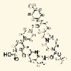 CC(C)(C)OC(=O)N1CCCN(C[C@]2(C)CCC(c3ccc(Cl)cc3)=C(CN3CCN(c4ccc(C(=O)O)c(Oc5cnc6[nH]ccc6c5)c4)CC3)C2)CC1